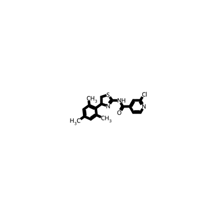 Cc1cc(C)c(C2CSC(NC(=O)c3ccnc(Cl)c3)=N2)c(C)c1